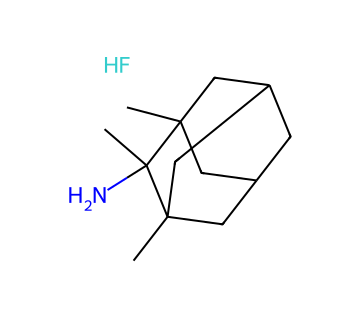 CC12CC3CC(C1)CC(C)(C3)C2(C)N.F